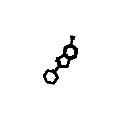 Brc1ccc2c(c1)N=C(N1CCCCC1)C2